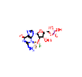 Nc1nc(=O)c2ncn([C@@H]3O[C@H](COP(=O)(O)O)[C@H](O)[C@H]3OF)c2n1S